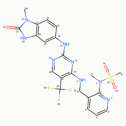 CN(c1ncccc1CNc1nc(Nc2ccc3c(c2)[nH]c(=O)n3C)ncc1C(F)(F)F)S(C)(=O)=O